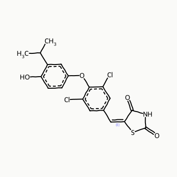 CC(C)c1cc(Oc2c(Cl)cc(/C=C3/SC(=O)NC3=O)cc2Cl)ccc1O